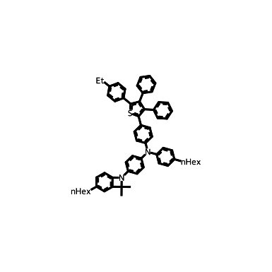 CCCCCCc1ccc(N(c2ccc(-c3sc(-c4ccc(CC)cc4)c(-c4ccccc4)c3-c3ccccc3)cc2)c2ccc(N3c4ccc(CCCCCC)cc4C3(C)C)cc2)cc1